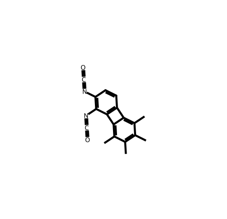 Cc1c(C)c(C)c2c(c1C)-c1ccc(N=C=O)c(N=C=O)c1-2